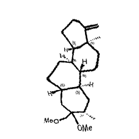 C=C1CC[C@H]2[C@@H]3CC[C@H]4CC(OC)(OC)[C@@H](C)C[C@@H]4[C@H]3CC[C@]12C